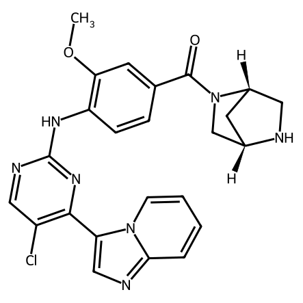 COc1cc(C(=O)N2C[C@@H]3C[C@H]2CN3)ccc1Nc1ncc(Cl)c(-c2cnc3ccccn23)n1